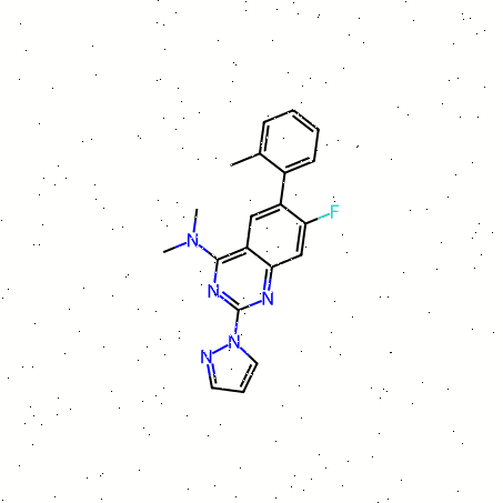 Cc1ccccc1-c1cc2c(N(C)C)nc(-n3cccn3)nc2cc1F